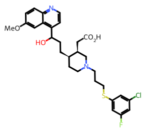 COc1ccc2nccc(C(O)CC[C@@H]3CCN(CCCSc4cc(F)cc(Cl)c4)C[C@@H]3CC(=O)O)c2c1